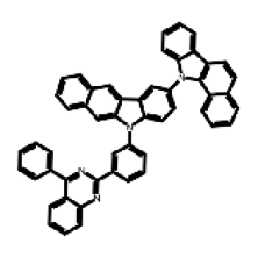 c1ccc(-c2nc(-c3cccc(-n4c5ccc(-n6c7ccccc7c7ccc8ccccc8c76)cc5c5cc6ccccc6cc54)c3)nc3ccccc23)cc1